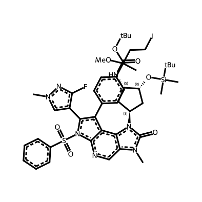 COC(C)(CCI)c1ccc(-c2c(-c3cn(C)nc3F)n(S(=O)(=O)c3ccccc3)c3ncc4c(c23)n([C@H]2C[C@H](NC(=O)OC(C)(C)C)[C@H](O[Si](C)(C)C(C)(C)C)C2)c(=O)n4C)cc1